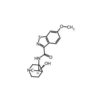 COc1ccc2c(C(=O)N[C@@]3(O)CN4CCC3CC4)nsc2c1